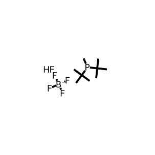 CP(C(C)(C)C)C(C)(C)C.F.F[B-](F)(F)F